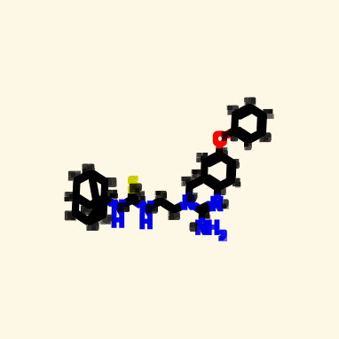 NC1=Nc2ccc(Oc3ccccc3)cc2CN1CCNC(=S)NC12CC3CC(CC(C3)C1)C2